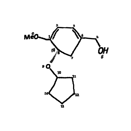 COC1=CC=C(CO)C[C@@H]1OC1CCCC1